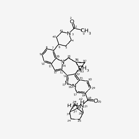 CC(=O)N1CCC(c2cccc3cc(-c4nn5cc(C(=O)N6CC7CCC6[C@@H]7N)ccc5c4C)n(CC4CC4)c23)CC1